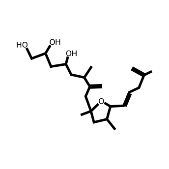 C=C(C)CC=CC1OC(C)(CC(=C)C(C)CC(O)CC(O)CO)CC1C